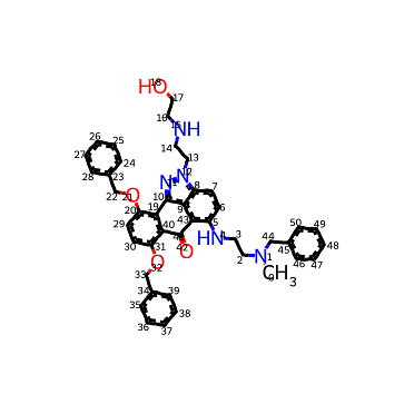 CN(CCNc1ccc2c3c(nn2CCNCCO)-c2c(OCc4ccccc4)ccc(OCc4ccccc4)c2C(=O)c13)Cc1ccccc1